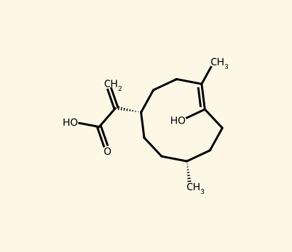 C=C(C(=O)O)[C@@H]1CC/C(C)=C(\O)CC[C@H](C)CC1